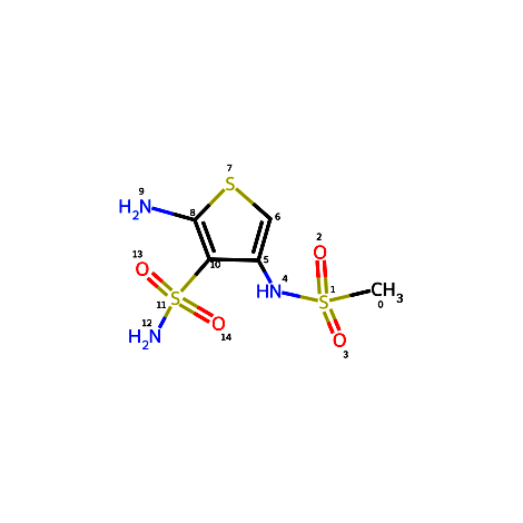 CS(=O)(=O)Nc1csc(N)c1S(N)(=O)=O